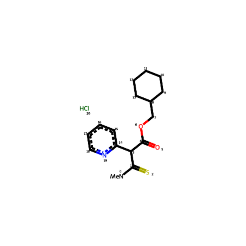 CNC(=S)C(C(=O)OCC1CCCCC1)c1ccccn1.Cl